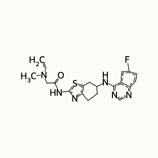 C=CN(C)CC(=O)Nc1nc2c(s1)CC(Nc1ncnc3ccc(F)cc13)CC2